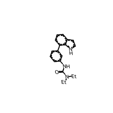 CCN(CC)C(=O)Nc1cccc(-c2cccc3cc[nH]c23)c1